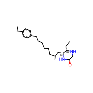 CCc1ccc(CCCCCCC(C)C[C@@H]2NC(=O)CN[C@H]2CC)cc1